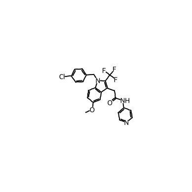 COc1ccc2c(c1)c(CC(=O)Nc1ccncc1)c(C(F)(F)F)n2Cc1ccc(Cl)cc1